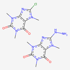 Cn1c(=O)c2c(nc(Cl)n2C)n(C)c1=O.Cn1c(=O)c2c(nc(NN)n2C)n(C)c1=O